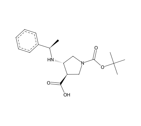 C[C@@H](N[C@@H]1CN(C(=O)OC(C)(C)C)C[C@H]1C(=O)O)c1ccccc1